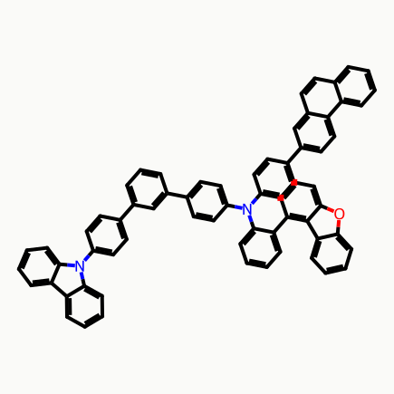 c1cc(-c2ccc(N(c3ccc(-c4ccc5c(ccc6ccccc65)c4)cc3)c3ccccc3-c3cccc4oc5ccccc5c34)cc2)cc(-c2ccc(-n3c4ccccc4c4ccccc43)cc2)c1